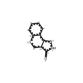 O=c1[nH]nc2c3ccccc3scc1-2